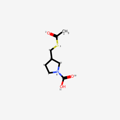 CC(=O)SCC1CCN(C(=O)O)C1